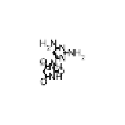 Nc1cc(N)nc(N)n1.O=C1CC(=O)NC(=O)N1